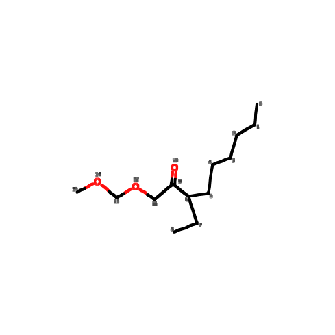 CCCCCCC(CC)C(=O)COCOC